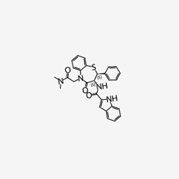 CN(C)C(=O)CN1C(=O)[C@H](NC(=O)c2cc3ccccc3[nH]2)[C@H](c2ccccc2)Sc2ccccc21